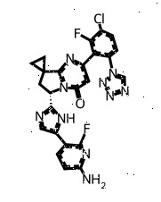 Nc1ccc(-c2cnc([C@@H]3CC4(CC4)c4nc(-c5c(-n6cnnn6)ccc(Cl)c5F)cc(=O)n43)[nH]2)c(F)n1